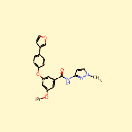 CC(C)Oc1cc(Oc2ccc(-c3ccoc3)cc2)cc(C(=O)Nc2ccn(C)n2)c1